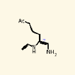 C=CN/C(=C\N)CCCC(C)=O